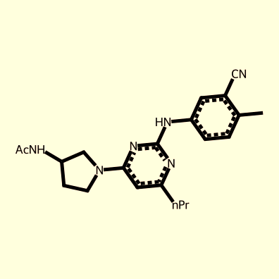 CCCc1cc(N2CCC(NC(C)=O)C2)nc(Nc2ccc(C)c(C#N)c2)n1